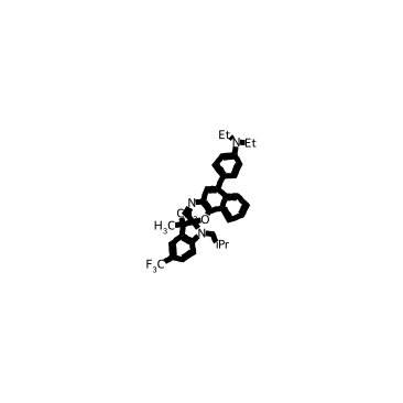 CCN(CC)c1ccc(-c2cc3c(c4ccccc24)OC2(C=N3)N(CC(C)C)c3ccc(C(F)(F)F)cc3C2(C)C)cc1